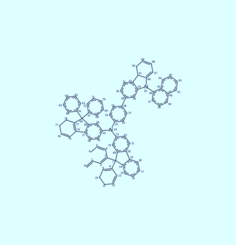 C=C/C=C(\C=C/C)C1(C2=CCCC=C2)c2ccccc2-c2ccc(N(c3ccc(-c4ccc5c(c4)N(c4cccc6ccccc46)C4=CC=CCC45)cc3)c3ccc4c(c3)C(c3ccccc3)(c3ccccc3)C3=C4C=CCC3)cc21